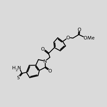 COC(=O)COc1ccc(C(=O)CN2Cc3cc(C(N)=S)ccc3C2=O)cc1